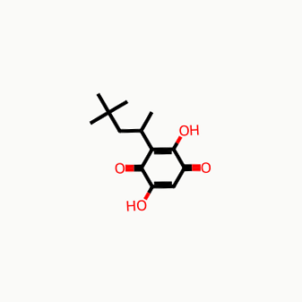 CC(CC(C)(C)C)C1=C(O)C(=O)C=C(O)C1=O